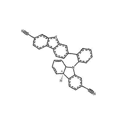 N#Cc1ccc2c(c1)N(c1ccccc1-c1ccc3c(c1)sc1cc(C#N)ccc13)C1C=CC=C[C@H]21